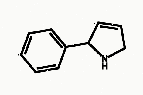 [c]1ccc(C2C=CCN2)cc1